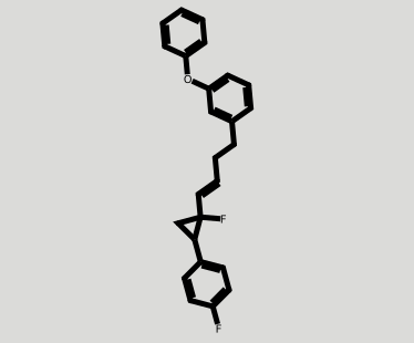 Fc1ccc(C2CC2(F)C=CCCc2cccc(Oc3ccccc3)c2)cc1